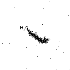 CCCCCC1COC(c2ccc(C3CCC(C4CCC(C(F)(F)Oc5cc(F)c(C#N)c(F)c5)CC4)CC3)c(F)c2)OC1